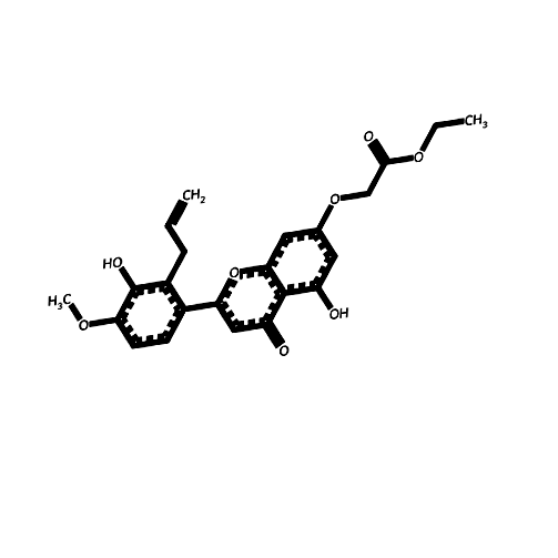 C=CCc1c(-c2cc(=O)c3c(O)cc(OCC(=O)OCC)cc3o2)ccc(OC)c1O